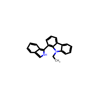 CCn1c2ccccc2c2cccc(-c3[nH]cc4ccccc34)c21